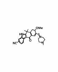 COC1CC2=C(C=C1SN1CCN(C)CC1)C(=O)c1c([nH]c3cc(C#N)ccc13)C2(C)C